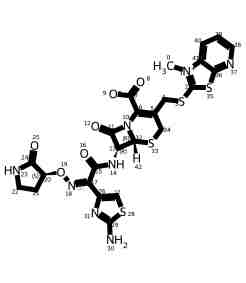 C[n+]1c(SCC2=C(C(=O)[O-])N3C(=O)[C@@H](NC(=O)/C(=N\O[C@H]4CCNC4=O)c4csc(N)n4)[C@H]3SC2)sc2ncccc21